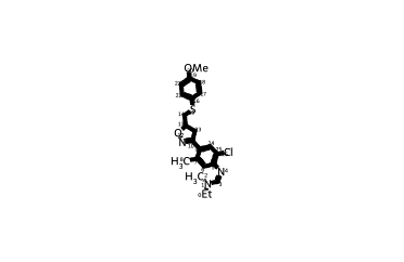 CCN(C)/C=N\c1cc(C)c(C2=NOC(CSc3ccc(OC)cc3)C2)cc1Cl